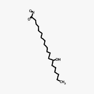 CCCCCCC(O)CCCCCCCCCCCCC(=O)N=O